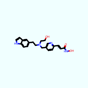 O=C(/C=C/c1ccc(CN(CCO)CCc2ccc3[nH]ccc3c2)cn1)NO